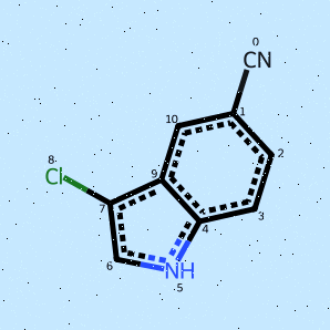 N#Cc1ccc2[nH]cc(Cl)c2c1